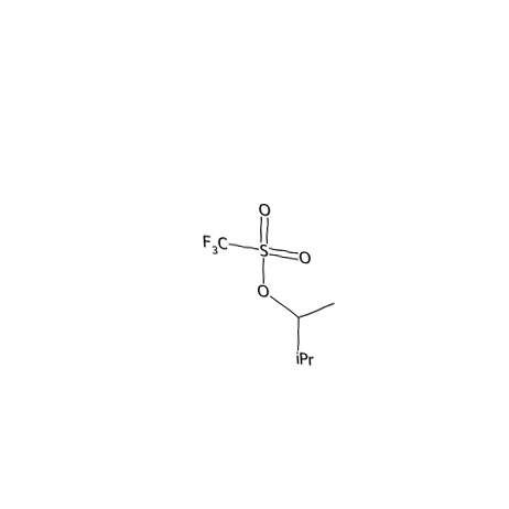 CC(C)C(C)OS(=O)(=O)C(F)(F)F